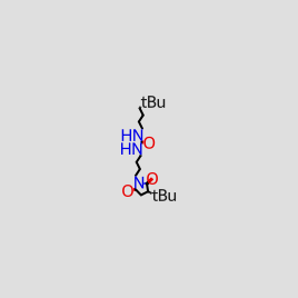 CC(C)(C)CCCCNC(=O)NCCCCN1C(=O)CC(C(C)(C)C)C1=O